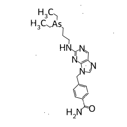 CC[As](CC)CCCNc1ncc2ncn(Cc3ccc(C(N)=O)cc3)c2n1